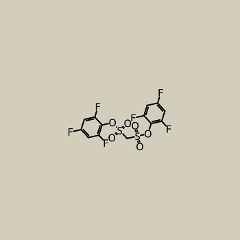 O=S(=O)(CS(=O)(=O)Oc1c(F)cc(F)cc1F)Oc1c(F)cc(F)cc1F